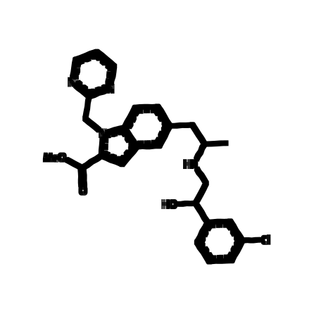 COC(=O)c1cc2cc(CC(C)NCC(O)c3cccc(Cl)c3)ccc2n1Cc1ncccn1